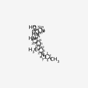 Cc1ccc2c(c1)CCN2c1ccc(-c2ccc3c(c2)CCN[C@@H]3CNc2cnccc2C(=O)O)c(C)c1